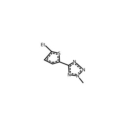 CCc1ccc(-c2nnn(C)n2)s1